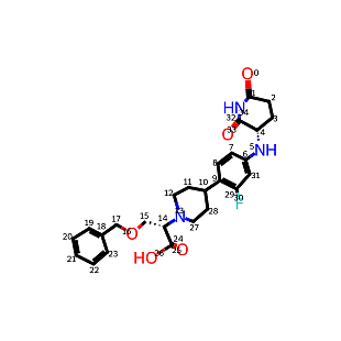 O=C1CC[C@H](Nc2ccc(C3CCN([C@@H](COCc4ccccc4)C(=O)O)CC3)c(F)c2)C(=O)N1